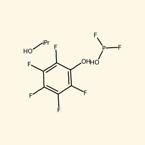 CC(C)O.OP(F)F.Oc1c(F)c(F)c(F)c(F)c1F